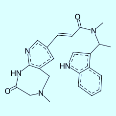 CC(c1c[nH]c2ccccc12)N(C)C(=O)C=Cc1cnc2c(c1)CN(C)CC(=O)N2